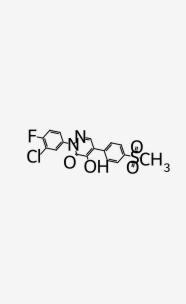 CS(=O)(=O)c1ccc(-c2cnn(-c3ccc(F)c(Cl)c3)c(=O)c2O)cc1